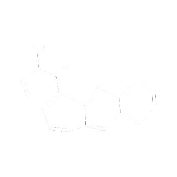 CC1C=Cc2ccc3cc4ccccc4cc3c2C1=O